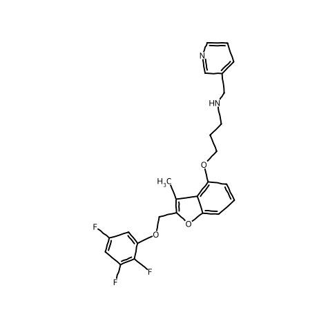 Cc1c(COc2cc(F)cc(F)c2F)oc2cccc(OCCCNCc3cccnc3)c12